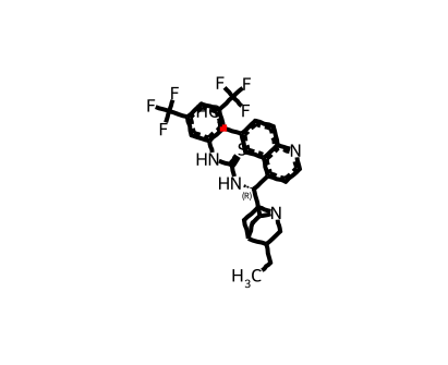 CCC1CN2CCC1CC2[C@H](NC(=S)Nc1cc(C(F)(F)F)cc(C(F)(F)F)c1)c1ccnc2ccc(CO)cc12